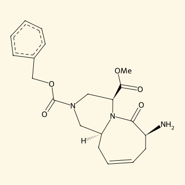 COC(=O)[C@@H]1CN(C(=O)OCc2ccccc2)C[C@@H]2C/C=C\C[C@H](N)C(=O)N21